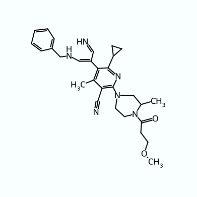 COCCC(=O)N1CCN(c2nc(C3CC3)c(/C(C=N)=C/NCc3ccccc3)c(C)c2C#N)CC1C